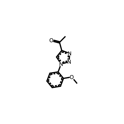 COc1ccccc1-n1cc(C(C)=O)nn1